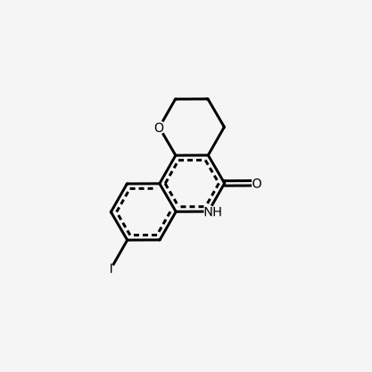 O=c1[nH]c2cc(I)ccc2c2c1CCCO2